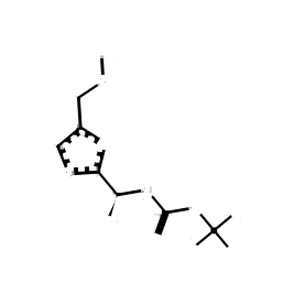 CNCc1cnc([C@H](C)NC(=O)OC(C)(C)C)o1